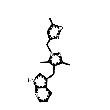 Cc1cc(Cn2nc(C)c(Cc3c[nH]c4ncccc34)c2C)no1